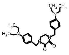 CCN(CC)c1ccc(CN2CCN(Cc3ccc(N(CC)CC)cc3)C(=O)C2=O)cc1